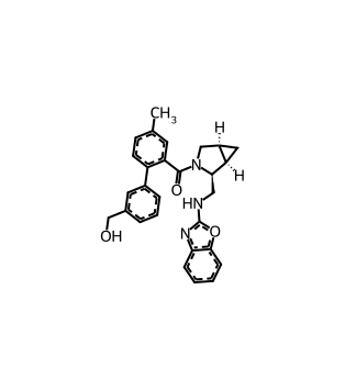 Cc1ccc(-c2cccc(CO)c2)c(C(=O)N2C[C@H]3C[C@H]3[C@H]2CNc2nc3ccccc3o2)c1